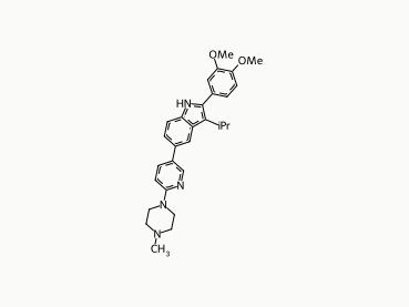 COc1ccc(-c2[nH]c3ccc(-c4ccc(N5CCN(C)CC5)nc4)cc3c2C(C)C)cc1OC